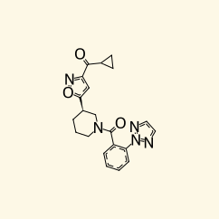 O=C(c1cc([C@@H]2CCCN(C(=O)c3ccccc3-n3nccn3)C2)on1)C1CC1